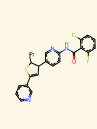 CC(C)C1SC(c2cccnc2)=CC1c1ccc(NC(=O)c2c(F)cccc2F)nc1